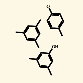 Cc1cc(C)cc(C)c1.Cc1cc(C)cc(O)c1.Cc1ccc([O])cc1